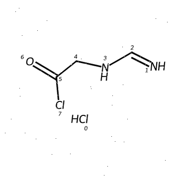 Cl.N=CNCC(=O)Cl